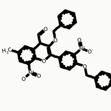 Cc1cc2c(c([N+](=O)[O-])c1)OC(c1ccc(OCc3ccccc3)c([N+](=O)[O-])c1)=C(OCc1ccccc1)C2C=O